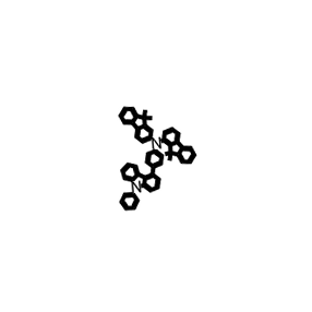 CC1(C)c2ccccc2-c2ccc(N(c3ccc(-c4cccc5c4c4ccccc4n5-c4ccccc4)cc3)c3cccc4c3C(C)(C)c3ccccc3-4)cc21